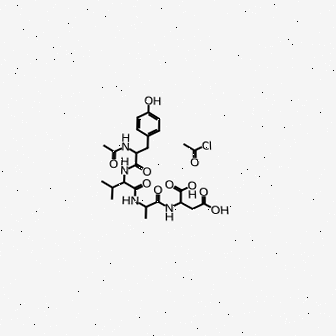 CC(=O)Cl.CC(=O)NC(Cc1ccc(O)cc1)C(=O)NC(C(=O)NC(C)C(=O)NC(CC(=O)O)C(=O)O)C(C)C